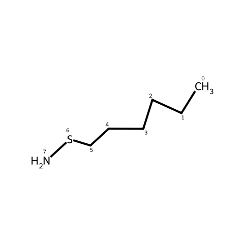 CCCCCCSN